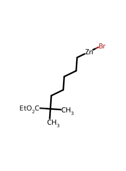 CCOC(=O)C(C)(C)CCCC[CH2][Zn][Br]